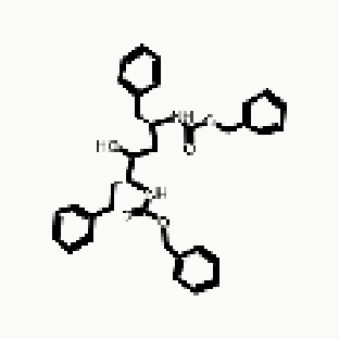 O=C(N[C@H](Cc1ccccc1)CC(O)[C@@H](CCc1ccccc1)NC(=O)OCc1ccccc1)OCc1ccccc1